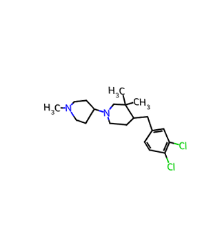 CN1CCC(N2CCC(Cc3ccc(Cl)c(Cl)c3)C(C)(C)C2)CC1